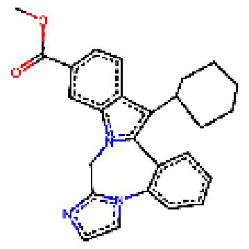 COC(=O)c1ccc2c(C3CCCCC3)c3n(c2c1)Cc1nccn1-c1ccccc1-3